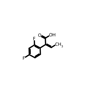 C/C=C(\C(=O)O)c1ccc(F)cc1F